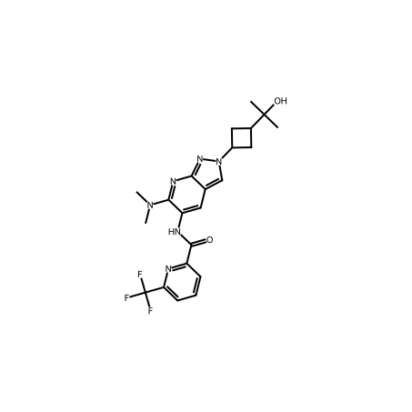 CN(C)c1nc2nn(C3CC(C(C)(C)O)C3)cc2cc1NC(=O)c1cccc(C(F)(F)F)n1